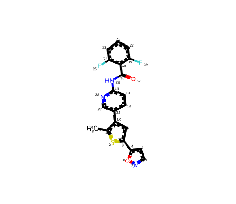 Cc1sc(-c2ccno2)cc1-c1ccc(NC(=O)c2c(F)cccc2F)nc1